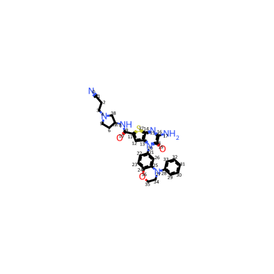 N#CCCN1CC[C@H](NC(=O)c2cc3c(nc(N)c(=O)n3-c3ccc4c(c3)N(c3ccccc3)CCO4)s2)C1